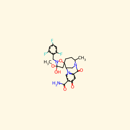 COC1(O)CC2(CCC(C)N3CC2n2cc(C(N)=O)c(=O)cc2C3=O)ON1Cc1c(F)cc(F)cc1F